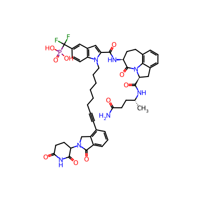 C[C@H](CCC(N)=O)NC(=O)[C@@H]1Cc2cccc3c2N1C(=O)[C@@H](NC(=O)c1cc2cc(C(F)(F)P(=O)(O)O)ccc2n1CCCCCCC#Cc1cccc2c1CN(C1CCC(=O)NC1=O)C2=O)CC3